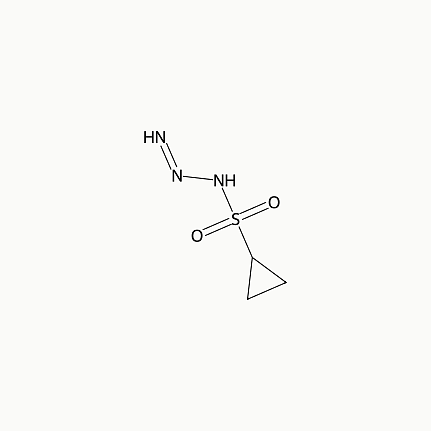 N=NNS(=O)(=O)C1CC1